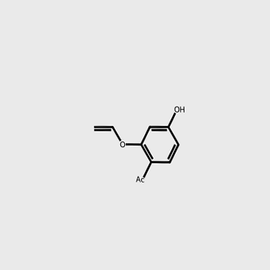 C=COc1cc(O)ccc1C(C)=O